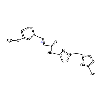 CC(=O)c1ccc(Cn2ccc(NC(=O)/C=C/c3cccc(OC(F)(F)F)c3)n2)o1